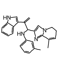 C=C(c1c[nH]c2ccccc12)C(Nc1cccc(C)c1)c1cn2c(n1)C(C)=CCC2